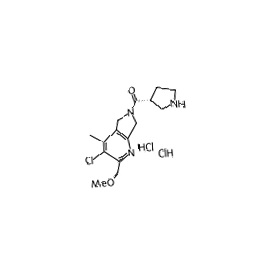 COCc1nc2c(c(C)c1Cl)CN(C(=O)[C@@H]1CCNC1)C2.Cl.Cl